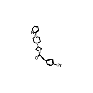 CC(C)c1ccc(/C=C/C(=O)N2CC(N3CCN(c4ccccn4)CC3)C2)cc1